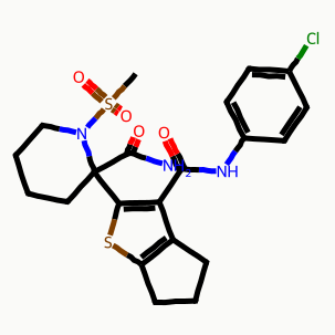 CS(=O)(=O)N1CCCCC1(C(N)=O)c1sc2c(c1C(=O)Nc1ccc(Cl)cc1)CCC2